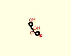 COc1ccc(C(=O)C(O)=Cc2ccc(O)cc2)cc1